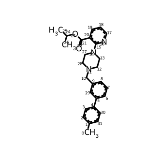 Cc1ccc(-c2cccc(CN3CCN(c4ncccc4C(=O)OC(C)C)CC3)c2)cc1